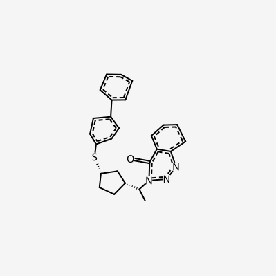 CC([C@@H]1CC[C@H](Sc2ccc(-c3ccccc3)cc2)C1)n1nnc2ccccc2c1=O